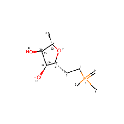 C=P(C)(C)CC[C@H]1O[C@@H](C)[C@H](O)[C@@H]1O